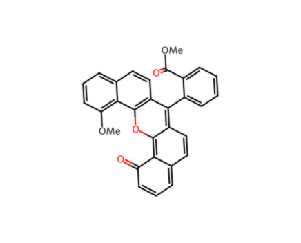 COC(=O)c1ccccc1-c1c2ccc3cccc(OC)c3c2oc2c1ccc1cccc(=O)c12